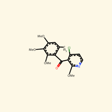 COc1cc(C)c(C(=O)c2c(Cl)ccnc2OC)c(OC)c1OC